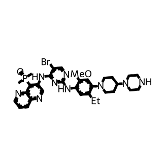 CCc1cc(Nc2ncc(Br)c(Nc3cnc4cccnc4c3P(C)(C)=O)n2)c(OC)cc1N1CCC(N2CCNCC2)CC1